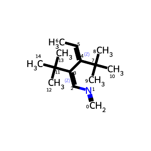 C=N/C=C(\C(=C/C)C(C)(C)C)C(C)(C)C